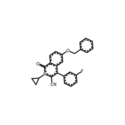 N#Cc1c(-c2cccc(F)c2)c2cc(OCc3ccccc3)ccc2c(=O)n1C1CC1